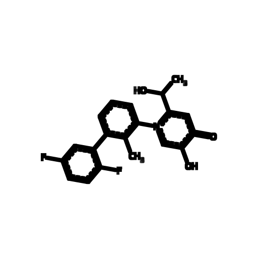 Cc1c(-c2cc(F)ccc2F)cccc1-n1cc(O)c(=O)cc1C(C)O